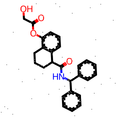 O=C(CO)Oc1cccc2c1CCCC2C(=O)NC(c1ccccc1)c1ccccc1